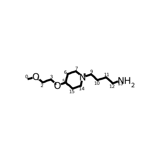 COCCOC1CCN(CCCCN)CC1